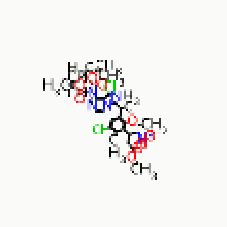 CCOC(=O)CC(C[N+](=O)[O-])c1c(C)c(Cl)cc(C(C)c2nc(Cl)c3c(N(C(=O)OC(C)(C)C)C(=O)OC(C)(C)C)nccn23)c1OCC